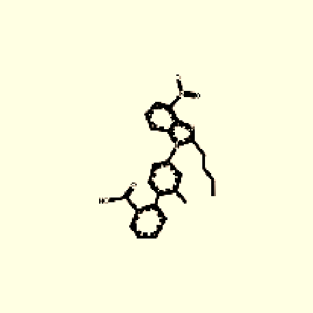 CCCCc1nc2c([N+](=O)[O-])cccc2n1-c1ccc(-c2ccccc2C(=O)O)c(C)c1